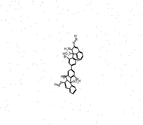 [H]/N=N/C1=Cc2ccccc2C(c2c(Br)cc(-c3cc(Br)c(C4(S(=O)(=O)O)c5ccccc5C=C(/N=N/[H])C4N)c(Br)c3)cc2Br)(S(=O)(=O)O)C1N